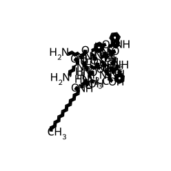 CCCCCCCCCCCCCCCC(=O)NCC(=O)N[C@@H](CO)C(=O)N[C@@H](CCC(=O)O)C(=O)N[C@@H](CCCCN)C(=O)N[C@@H](CCCCN)C(=O)N[C@@H](Cc1ccc(O)cc1)C(=O)N[C@@H](CC(C)C)C(=O)N[C@@H](Cc1c[nH]c2ccccc12)C(=O)NCC(=O)N[C@@H](Cc1ccccc1)C(=O)N[C@H](C(N)=O)[C@@H](C)O